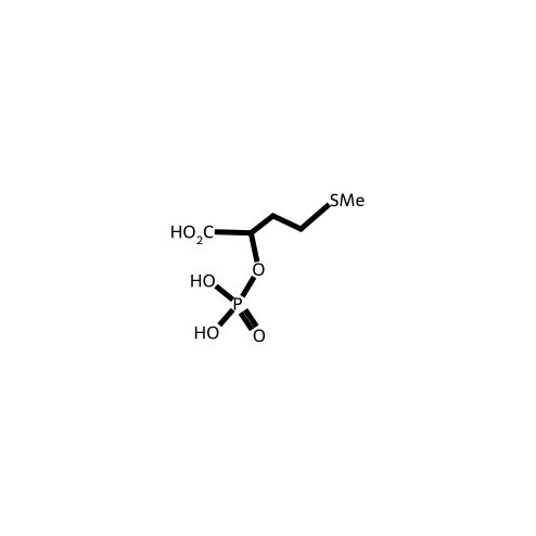 CSCCC(OP(=O)(O)O)C(=O)O